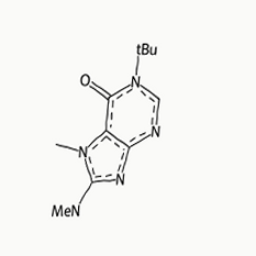 CNc1nc2ncn(C(C)(C)C)c(=O)c2n1C